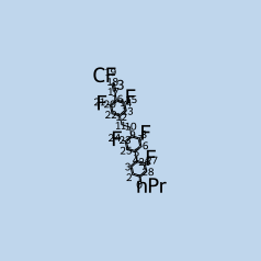 CCCc1ccc(-c2cc(F)c(CCc3cc(F)c(C#CC(F)(F)F)c(F)c3)c(F)c2)c(F)c1